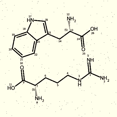 N=C(N)NCCC[C@H](N)C(=O)O.N[C@@H](Cc1c[nH]c2ccccc12)C(=O)O